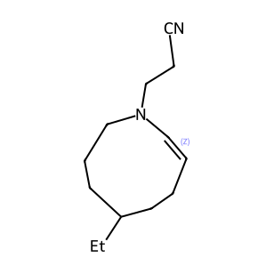 CCC1CC/C=C\N(CCC#N)CCC1